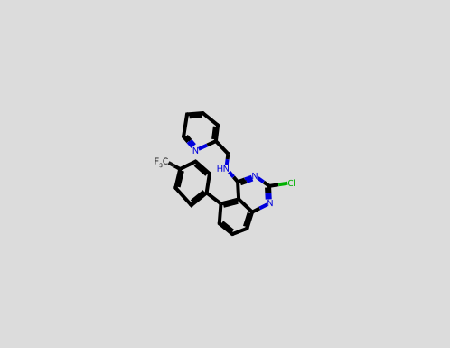 FC(F)(F)c1ccc(-c2cccc3nc(Cl)nc(NCc4ccccn4)c23)cc1